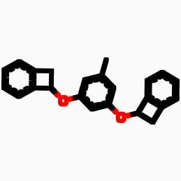 Cc1cc(OC2Cc3ccccc32)cc(OC2Cc3ccccc32)c1